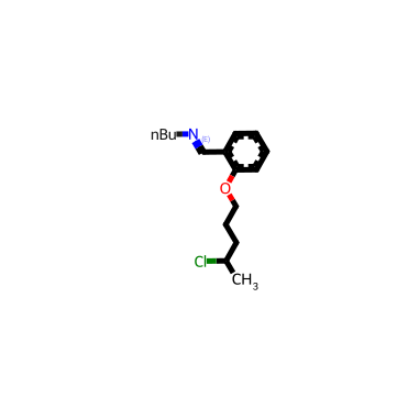 CCCC/N=C/c1ccccc1OCCCC(C)Cl